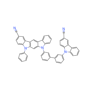 N#Cc1ccc2c(c1)c1ccccc1n2-c1cccc(-c2cccc(-n3c4ccccc4c4cc5c6cc(C#N)ccc6n(-c6ccccc6)c5cc43)c2)c1